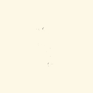 CCCCC[C@H](Cl)CCCC